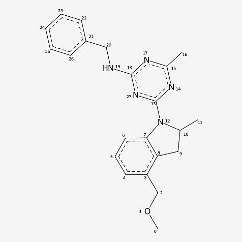 COCc1cccc2c1CC(C)N2c1nc(C)nc(NCc2ccccc2)n1